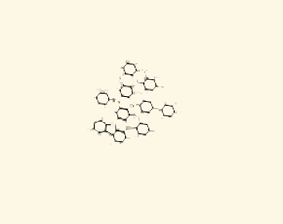 Cc1cc(C)c(B2c3ccccc3Sc3cc4c(cc32)B2c3ccc(-c5ccccc5)cc3N3c5ccccc5B5c6c(cc(c2c63)N4c2ccccc2)-n2c3ccccc3c3cccc5c32)c(C)c1